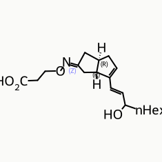 CCCCCCC(O)C=CC1=CC[C@@H]2C/C(=N/OCCC(=O)O)C[C@@H]12